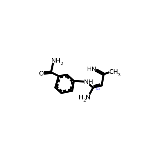 CC(=N)/C=C(/N)Nc1cccc(C(N)=O)c1